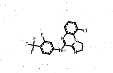 Fc1cc(NC2=Nc3cccc(Cl)c3N3CCN=C23)ccc1C(F)(F)F